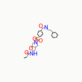 C=CC(=O)NC1CC2CN(S(=O)(=O)c3ccc(C(=O)N(C)CCc4ccccc4)cc3)CC2O1